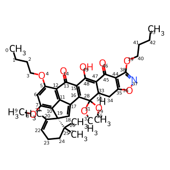 CCCCOc1cc(OC)c2c3c1C(=O)C1=C(C3=C[C@@]23C(C)=CCCC3(C)C)C(OC)(OC)[C@@H]2Cc3onc(OCCCC)c3C(=O)C2=C1O